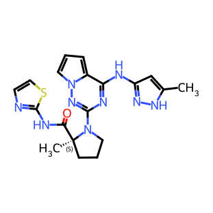 Cc1cc(Nc2nc(N3CCC[C@@]3(C)C(=O)Nc3nccs3)nn3cccc23)n[nH]1